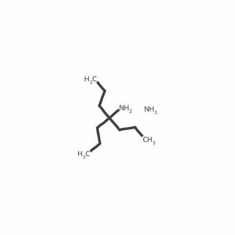 CCCC(N)(CCC)CCC.N